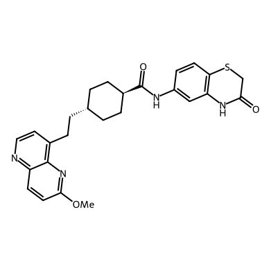 COc1ccc2nccc(CC[C@H]3CC[C@H](C(=O)Nc4ccc5c(c4)NC(=O)CS5)CC3)c2n1